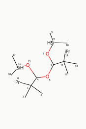 CC(C)C(C)(C)C(OC(O[SiH](C)C)C(C)(C)C(C)C)O[SiH](C)C